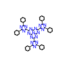 c1ccc(-c2nc(C3=NC4=NC(c5nc(-c6ccccc6)nc(-c6ccccc6)n5)=NC5=NC(c6nc(-c7ccccc7)nc(-c7ccccc7)n6)=NC(=N3)N45)nc(-c3ccccc3)n2)cc1